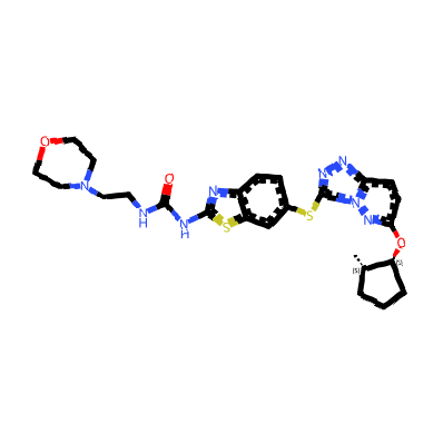 C[C@H]1CCC[C@@H]1Oc1ccc2nnc(Sc3ccc4nc(NC(=O)NCCN5CCOCC5)sc4c3)n2n1